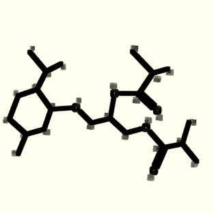 CC1CCC(C(C)C)C(OCC(COC(=O)C(C)C)OC(=O)C(C)C)C1